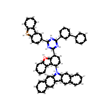 c1ccc(-c2cccc(-c3nc(-c4ccc5sc6ccccc6c5c4)nc(-c4ccc(-n5c6cc7ccccc7cc6c6cc7ccccc7cc65)c5c4oc4ccccc45)n3)c2)cc1